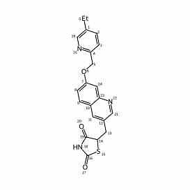 CCc1ccc(COc2ccc3cc(CC4SC(=O)NC4=O)cnc3c2)nc1